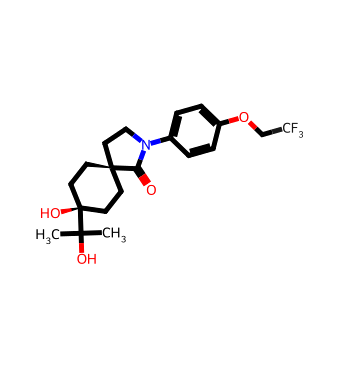 CC(C)(O)[C@]1(O)CC[C@]2(CCN(c3ccc(OCC(F)(F)F)cc3)C2=O)CC1